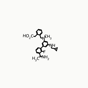 C[C@@H](N)c1cccc(-c2cc(NCC3CC3)cc(N(C)Cc3ccccc3CC(=O)O)c2)c1F